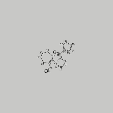 O=CC1=C(c2ccccc2C(=O)c2ccccc2)CCCCC1